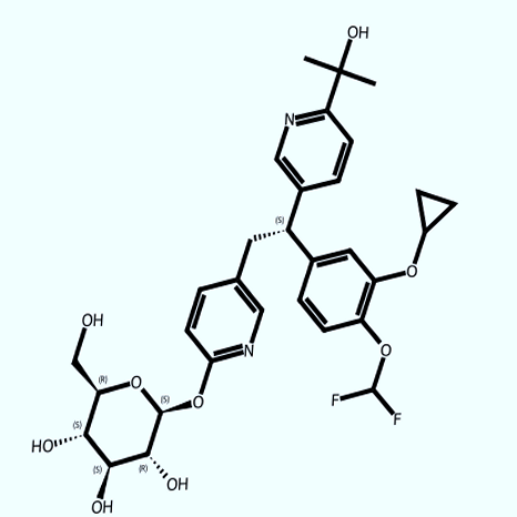 CC(C)(O)c1ccc([C@@H](Cc2ccc(O[C@@H]3O[C@H](CO)[C@@H](O)[C@H](O)[C@H]3O)nc2)c2ccc(OC(F)F)c(OC3CC3)c2)cn1